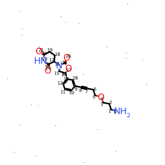 NCCCOCCC#Cc1cccc([C@H]2CN(C3CCC(=O)NC3=O)C(=O)O2)c1